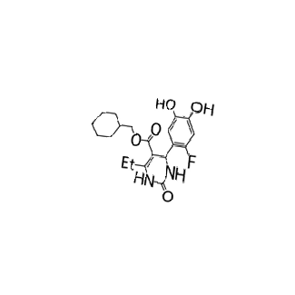 CCC1=C(C(=O)OCC2CCCCC2)C(c2cc(O)c(O)cc2F)NC(=O)N1